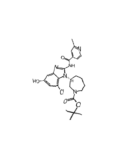 Cc1cc(C(=O)Nc2nc3cc(O)cc(Cl)c3n2[C@@H]2CCCCN(C(=O)OC(C)(C)C)C2)ccn1